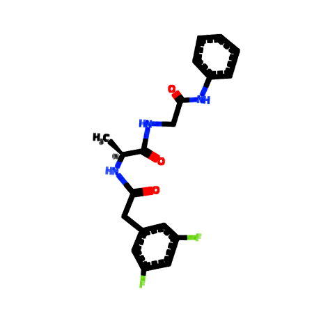 C[C@H](NC(=O)Cc1cc(F)cc(F)c1)C(=O)NCC(=O)Nc1ccccc1